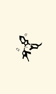 CC1=C(C)C(C)=[C]([Zr+2][CH]2C(n3cc(C)cc3C)=Cc3ccccc32)C1.[Cl-].[Cl-]